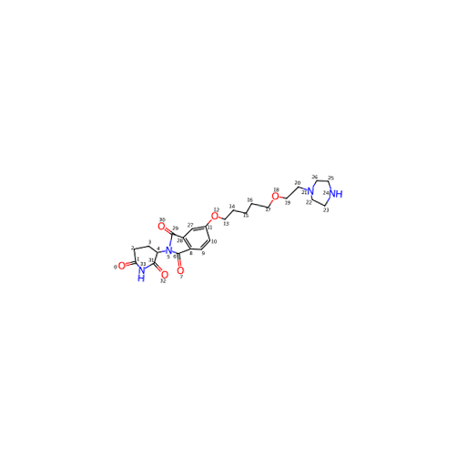 O=C1CCC(N2C(=O)c3ccc(OCCCCCOCCN4CCNCC4)cc3C2=O)C(=O)N1